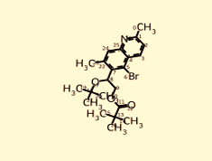 Cc1ccc2c(Br)c(C(COC(=O)C(C)(C)C)OC(C)(C)C)c(C)cc2n1